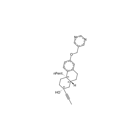 CC#C[C@@]1(O)CC[C@@]2(CCCCC)c3ccc(OCc4cncnc4)cc3CC[C@@H]2C1